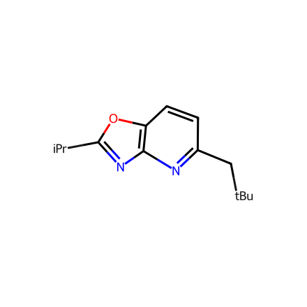 CC(C)c1nc2nc(CC(C)(C)C)ccc2o1